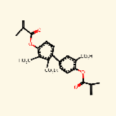 C=C(C)C(=O)Oc1ccc(-c2ccc(OC(=O)C(=C)C)c(C(=O)O)c2C(=O)OCC)cc1C(=O)O